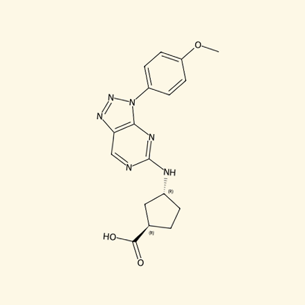 COc1ccc(-n2nnc3cnc(N[C@@H]4CC[C@@H](C(=O)O)C4)nc32)cc1